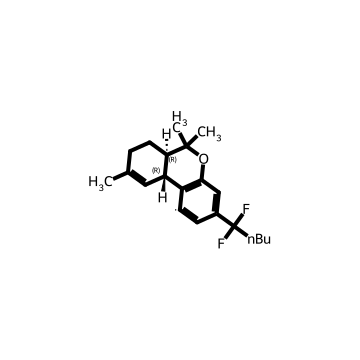 CCCCC(F)(F)c1c[c]c2c(c1)OC(C)(C)[C@@H]1CCC(C)=C[C@@H]21